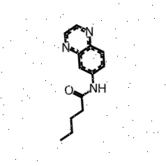 CCCCC(=O)Nc1ccc2nccnc2c1